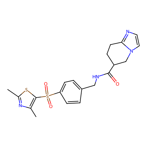 Cc1nc(C)c(S(=O)(=O)c2ccc(CNC(=O)C3CCc4nccn4C3)cc2)s1